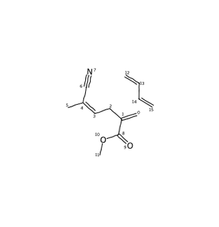 C=C(CC=C(C)C#N)C(=O)OC.C=CC=C